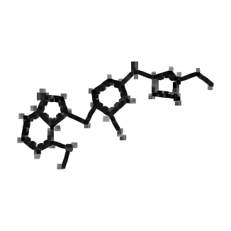 CCn1cc(Nc2ccc(Cc3c[nH]c4ncnc(OC)c34)c(F)n2)cn1